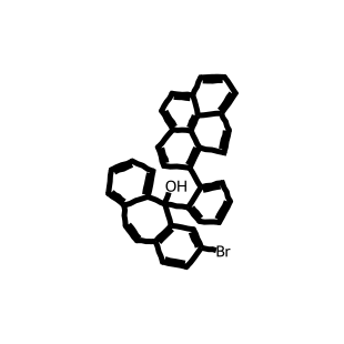 OC1(c2ccccc2-c2ccc3ccc4cccc5ccc2c3c45)c2ccccc2C=Cc2ccc(Br)cc21